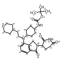 CC(C)(C)OC(=O)NC1CCC(N(CCC2CCOCC2)c2cccc3c2CN(C2CCC(=O)NC2=O)C3=O)CC1